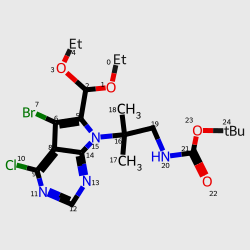 CCOC(OCC)c1c(Br)c2c(Cl)ncnc2n1C(C)(C)CNC(=O)OC(C)(C)C